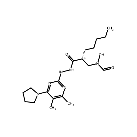 CCCCC[C@H](CN(O)C=O)C(=O)NNc1nc(C)c(C)c(N2CCCC2)n1